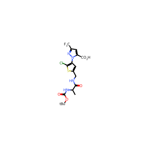 CC(NC(=O)OC(C)(C)C)C(=O)NCc1cc(-n2nc(C(F)(F)F)cc2C(=O)O)c(Cl)s1